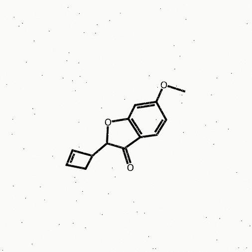 COc1ccc2c(c1)OC(C1C=CC1)C2=O